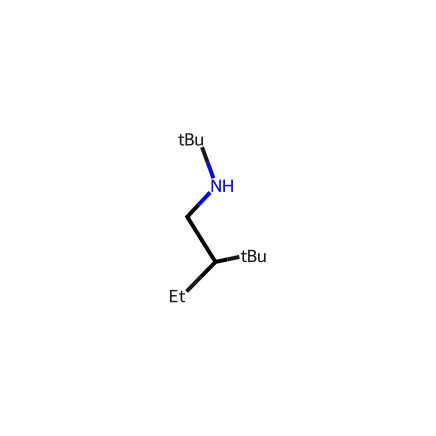 CCC(CNC(C)(C)C)C(C)(C)C